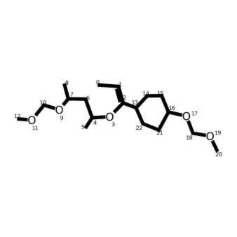 C/C=C(\OC(C)CC(C)OCOC)C1CCC(OCOC)CC1